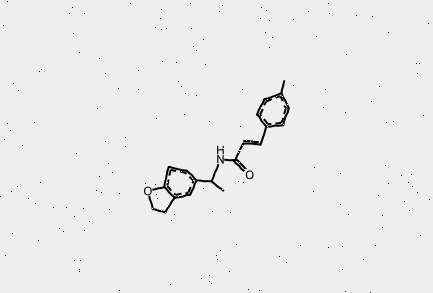 Cc1ccc(C=CC(=O)NC(C)c2ccc3c(c2)CCO3)cc1